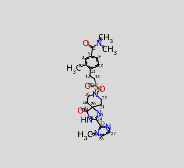 Cc1cc(C(=O)N(C)C)ccc1CCS(=O)(=O)N1CCC2(CC1)N=C(c1nccn1C)NC2=O